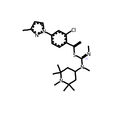 C=C(S/C(=N\C)N(C)C1CC(C)(C)N(C)C(C)(C)C1)c1ccc(-n2ccc(C)n2)cc1Cl